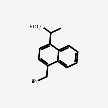 CCOC(=O)C(C)c1ccc(CC(C)C)c2ccccc12